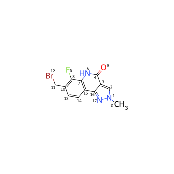 Cn1cc2c(=O)[nH]c3c(F)c(CBr)ccc3c2n1